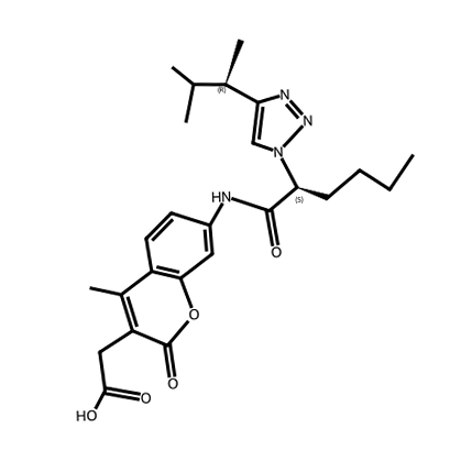 CCCC[C@@H](C(=O)Nc1ccc2c(C)c(CC(=O)O)c(=O)oc2c1)n1cc([C@H](C)C(C)C)nn1